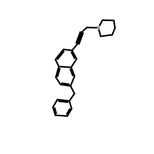 C(#Cc1ccc2ccc(Cc3ccccc3)cc2c1)CN1CCCCC1